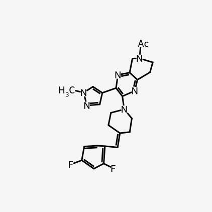 CC(=O)N1CCc2nc(N3CCC(=Cc4ccc(F)cc4F)CC3)c(-c3cnn(C)c3)nc2C1